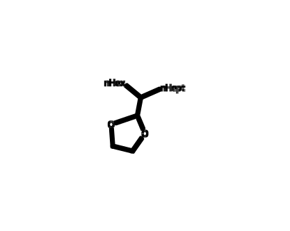 CCCCCCCC(CCCCCC)C1OCCO1